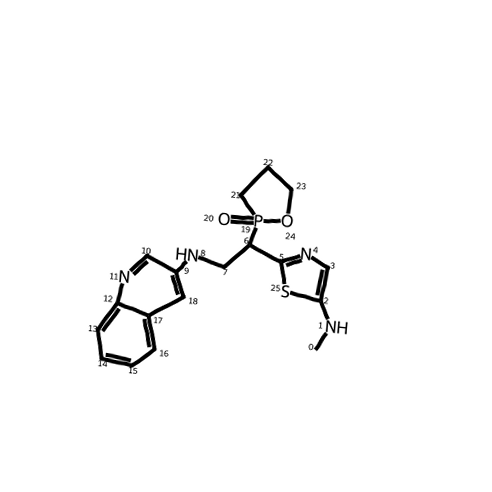 CNc1cnc(C(CNc2cnc3ccccc3c2)P2(=O)CCCO2)s1